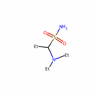 CCC(N(CC)CC)S(N)(=O)=O